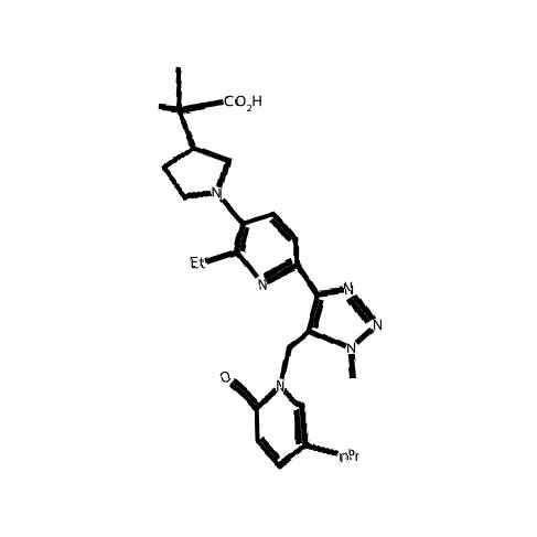 CCCc1ccc(=O)n(Cc2c(-c3ccc(N4CCC(C(C)(C)C(=O)O)C4)c(CC)n3)nnn2C)c1